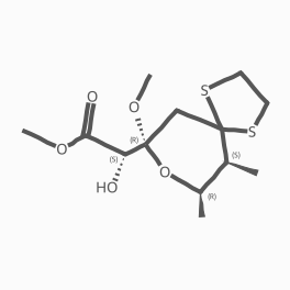 COC(=O)[C@@H](O)[C@@]1(OC)CC2(SCCS2)[C@@H](C)[C@@H](C)O1